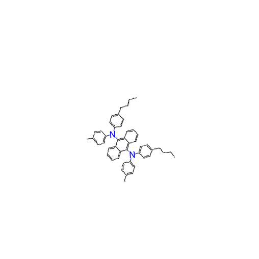 CCCCc1ccc(N(c2ccc(C)cc2)c2c3ccccc3c(N(c3ccc(C)cc3)c3ccc(CCCC)cc3)c3ccccc23)cc1